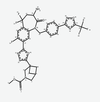 COC(=O)N1CC2CC(c3nnc(-c4cc5c(cc4F)C(F)(F)CC(N)C(=O)N5Cc4ccc(-c5noc(C(F)(F)F)n5)cc4)o3)(C2)C1